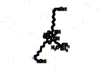 CCCCCCCC/C=C\CCCCCCCC(=O)C(O)(C(=O)CCC[N+](C)(C)C)[C@@](O)(CO)C(=O)CCCCCCC/C=C\CCCCCCCC